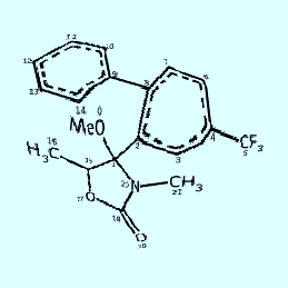 COC1(c2cc(C(F)(F)F)ccc2-c2ccccc2)C(C)OC(=O)N1C